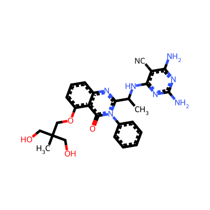 CC(Nc1nc(N)nc(N)c1C#N)c1nc2cccc(OCC(C)(CO)CO)c2c(=O)n1-c1ccccc1